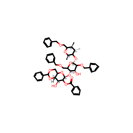 C[C@@H]1C(COCc2ccccc2)O[C@H](C)C(O[C@H]2OC(COCc3ccccc3)[C@@H](O[C@@H]3OC4COC(c5ccccc5)O[C@H]4[C@H](O)C3OC(=O)c3ccccc3)[C@H](O)C2OCc2ccccc2)[C@H]1C